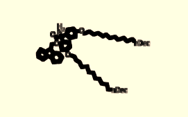 CCCCCCCCCCCCCCCCCCCCCCOc1ccc(C(N)(C(=O)OCC2c3ccccc3-c3ccccc32)c2ccc(OCCCCCCCCCCCCCCCCCCCCCC)cc2)cc1